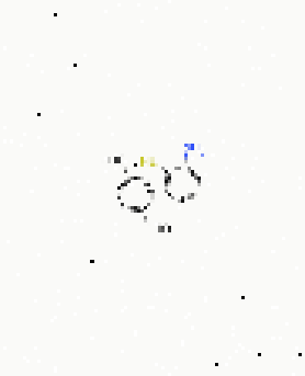 Nc1ccccc1S.O=Cc1ccc(C=O)cc1